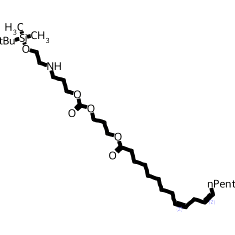 CCCCC/C=C\C/C=C\CCCCCCCC(=O)OCCCOC(=O)OCCCNCCO[Si](C)(C)C(C)(C)C